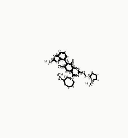 COC1CCCCN(c2nc(OC[C@@H]3CCCN3C)nc3c(F)c(-c4cccc5sc(N)nc45)c(Cl)cc23)C1